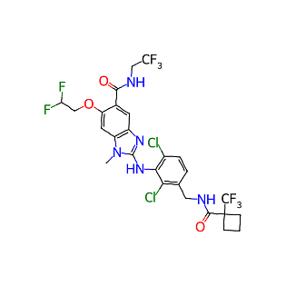 Cn1c(Nc2c(Cl)ccc(CNC(=O)C3(C(F)(F)F)CCC3)c2Cl)nc2cc(C(=O)NCC(F)(F)F)c(OCC(F)F)cc21